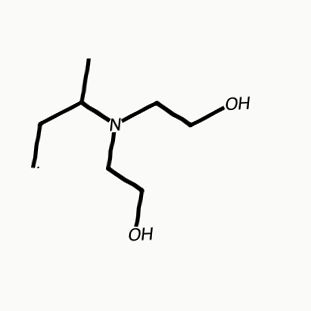 [CH2]CC(C)N(CCO)CCO